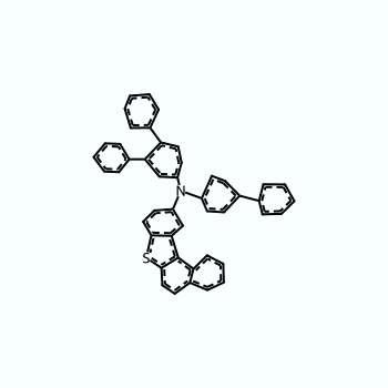 c1ccc(-c2ccc(N(c3ccc(-c4ccccc4)c(-c4ccccc4)c3)c3ccc4sc5ccc6ccccc6c5c4c3)cc2)cc1